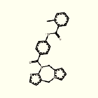 Cc1ccccc1C(=S)Nc1ccc(C(=O)N2Cc3cccn3Cc3ccoc32)cc1